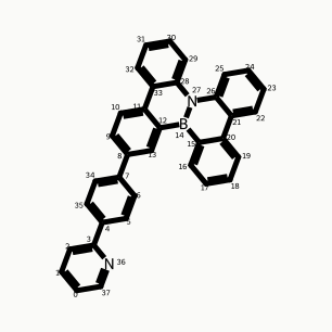 c1ccc(-c2ccc(-c3ccc4c(c3)B3c5ccccc5-c5ccccc5N3c3ccccc3-4)cc2)nc1